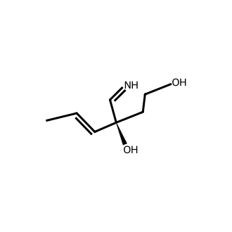 C/C=C/[C@](O)(C=N)CCO